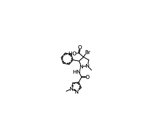 CN1CC(Br)(C(=O)O)C(c2ccccc2)N1NC(=O)c1cnn(C)c1